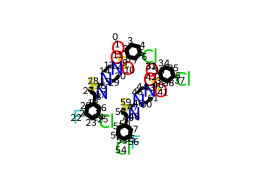 COc1ccc(Cl)cc1S(=O)(=O)N1CCN(c2nc(-c3cc(F)cc(Cl)c3)cs2)CC1.COc1ccc(Cl)cc1S(=O)(=O)N1CCN(c2nc(-c3ccc(Cl)c(F)c3)cs2)CC1